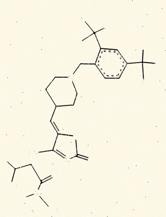 CC(C)[C@H](NC1=NC(=O)S/C1=C\C1CCN(Cc2ccc(C(F)(F)F)cc2C(F)(F)F)CC1)C(=O)N(C)C